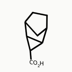 O=C(O)C1C2C3CCC(C3)C12